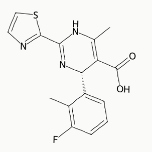 CC1=C(C(=O)O)[C@H](c2cccc(F)c2C)N=C(c2nccs2)N1